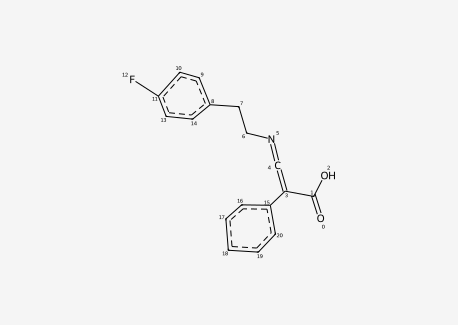 O=C(O)C(=C=NCCc1ccc(F)cc1)c1ccccc1